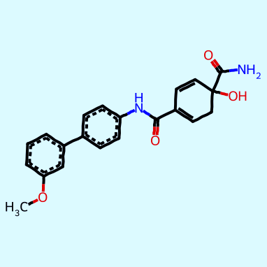 COc1cccc(-c2ccc(NC(=O)C3=CCC(O)(C(N)=O)C=C3)cc2)c1